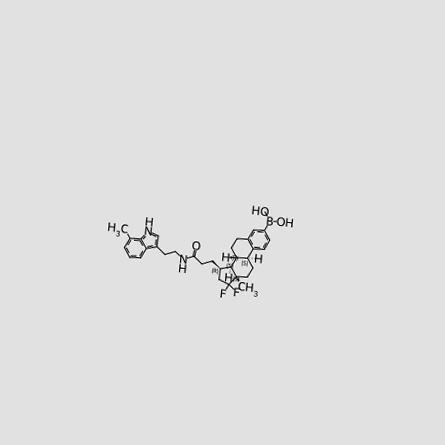 Cc1cccc2c(CCNC(=O)CC[C@@H]3CC(F)(F)[C@@]4(C)CC[C@@H]5c6ccc(B(O)O)cc6CC[C@H]5[C@H]34)c[nH]c12